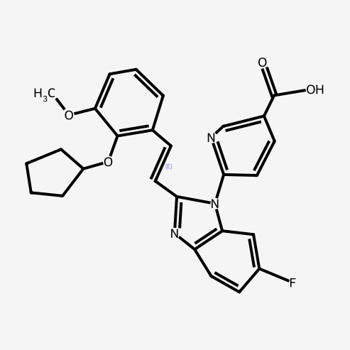 COc1cccc(/C=C/c2nc3ccc(F)cc3n2-c2ccc(C(=O)O)cn2)c1OC1CCCC1